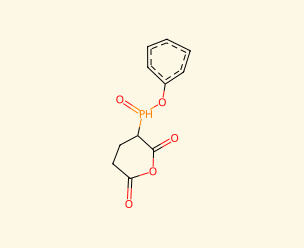 O=C1CCC([PH](=O)Oc2ccccc2)C(=O)O1